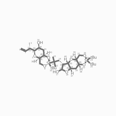 C=C[C@H](C)[C@@H]1O[C@@H]2CO[Si](C(C)(C)C)(C(C)(C)C[C@H]3C(O)O[C@H]4C[C@H]5O[Si](C(C)(C)C)(C(C)(C)C)OC[C@H]5O[C@H]43)O[C@@H]2C[C@@H]1O